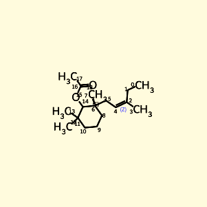 CC/C(C)=C\C[C@]1(C)CCCC(C)(C)C1OC(C)=O